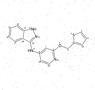 c1csc(COc2cc(Nc3n[nH]c4ccccc34)ccn2)c1